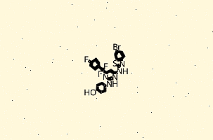 O[C@H]1CC[C@H](Nc2nc(Nc3nc4ccc(Br)cc4s3)cc(C(F)(F)c3ccc(F)cc3)n2)CC1